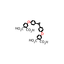 O=C(O)c1ccc(Oc2ccc(C3CC3c3ccc(Oc4ccc(C(=O)O)c(C(=O)O)c4)cc3)cc2)cc1C(=O)O